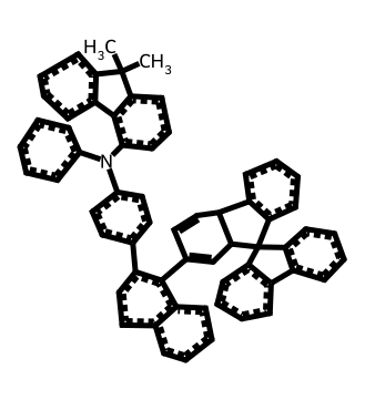 CC1(C)c2ccccc2-c2c(N(c3ccccc3)c3ccc(-c4ccc5ccccc5c4C4=CC5C(C=C4)c4ccccc4C54c5ccccc5-c5ccccc54)cc3)cccc21